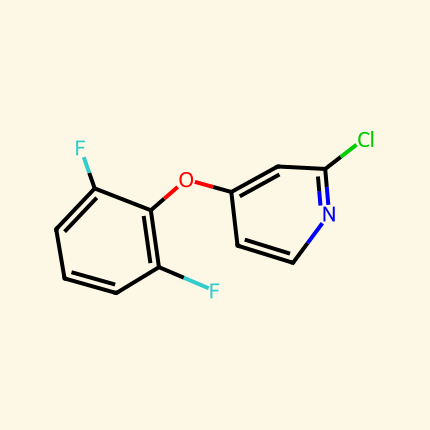 Fc1cccc(F)c1Oc1ccnc(Cl)c1